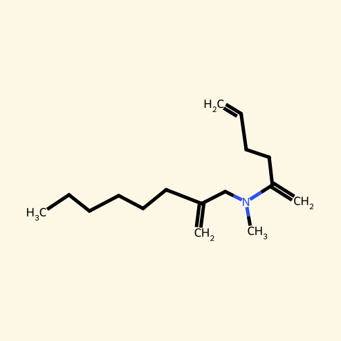 C=CCCC(=C)N(C)CC(=C)CCCCCC